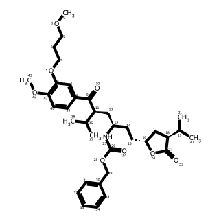 COCCCOc1cc(C(=O)[C@@H](C[C@@H](CC[C@@H]2C[C@@H](C(C)C)C(=O)O2)NC(=O)OCc2ccccc2)C(C)C)ccc1OC